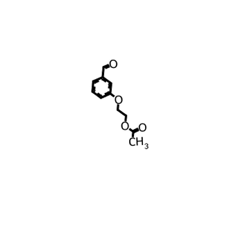 CC(=O)OCCOc1cccc(C=O)c1